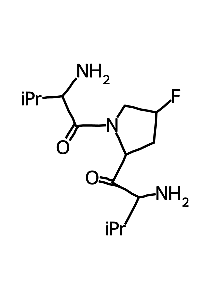 CC(C)C(N)C(=O)C1CC(F)CN1C(=O)C(N)C(C)C